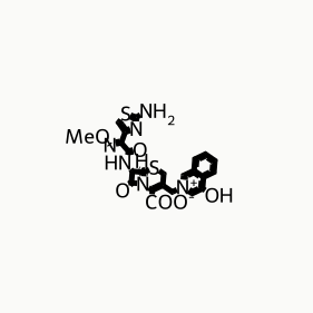 CON=C(C(=O)NC1C(=O)N2C(C(=O)[O-])=C(C[n+]3cc(O)c4ccccc4c3)CS[C@@H]12)c1csc(N)n1